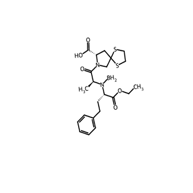 BN([C@@H](C)C(=O)N1CC2(C[C@H]1C(=O)O)SCCS2)[C@@H](CCc1ccccc1)C(=O)OCC